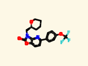 O=c1oc2ccc(-c3ccc(OC(F)(F)F)cc3)nc2n1C[C@@H]1CCCCO1